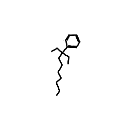 CCCCCCCC(CC)(CC)c1[c]cccc1